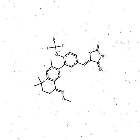 CO/N=C1\CCC(C)(C)c2cc(C)c(-c3cc(/C=C4\SC(=O)NC4=O)ccc3OC(F)(F)F)cc21